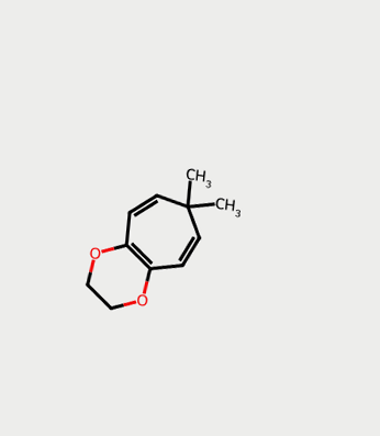 CC1(C)C=CC2=C(C=C1)OCCO2